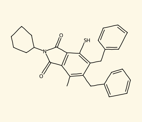 Cc1c(Cc2ccccc2)c(Cc2ccccc2)c(S)c2c1C(=O)N(C1CCCCC1)C2=O